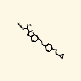 CC(N=[N+]=[N-])c1cc2ccc(CCc3ccc(OCC4CC4)cc3)cc2o1